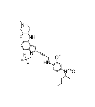 CCC[C@H](C)N(C=O)c1ccc(NCC#Cc2cc3c(N[C@@H]4CCN(C)C[C@@H]4F)cccc3n2CC(F)(F)F)c(OC)c1